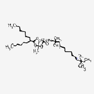 CCCCCCC(CCCCCC)C(=O)OC(C)(C)OC(=O)ONC(C)(C)CCCCCC/C=C/C(C)(C)CC